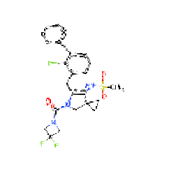 CS(=O)(=O)N[C@@H]1[C@H](Cc2cccc(-c3ccccc3)c2F)N(C(=O)N2CC(F)(F)C2)CC12CC2